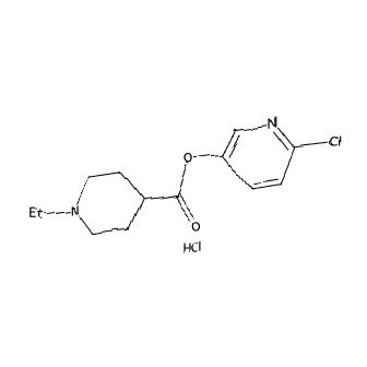 CCN1CCC(C(=O)Oc2ccc(Cl)nc2)CC1.Cl